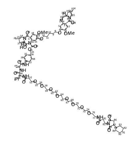 COc1cc2c(cc1OCCCCCOc1cc3c(cc1OC)C(=O)N1C=C(C)C[C@H]1[C@H](O)N3C(=O)OCc1ccc(NC(=O)[C@H](C)NC(=O)[C@@H](NC(=O)CCOCCOCCOCCOCCOCCOCCOCCOCCNC(=O)CCN3C(=O)CC(C4CCCCC4)C3=O)C(C)C)cc1)N=C[C@@H]1CC(C)=CN1C2=O